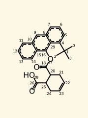 CC(C)(C)c1cccc2cc3ccccc3c(OC(=O)C3CC=CCC3C(=O)O)c12